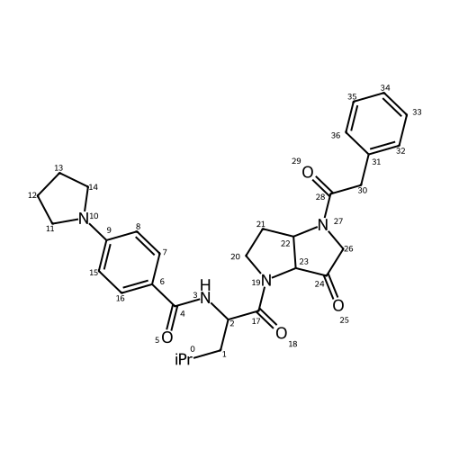 CC(C)CC(NC(=O)c1ccc(N2CCCC2)cc1)C(=O)N1CCC2C1C(=O)CN2C(=O)Cc1ccccc1